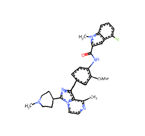 COc1cc(-c2nc(C3CCN(C)CC3)n3ccnc(C)c23)ccc1NC(=O)c1cc2c(F)cccc2n1C